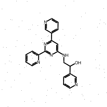 OC(CNc1cc(-c2cccnc2)nc(-c2ccccn2)n1)c1cccnc1